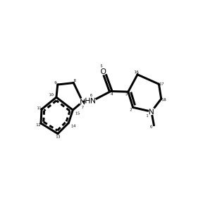 CN1C=C(C(=O)NN2CCc3ccccc32)CCC1